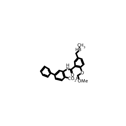 CBCc1ccc(OCOC)c(C(=O)Nc2cc(-c3ccccc3)ccc2C(=O)O)c1